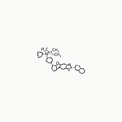 CCC(C)[C@H](C)N(c1ccccc1)c1ccc(-c2cccc3c2oc2cc4nc(-c5ccc6ccccc6c5)sc4cc23)cc1